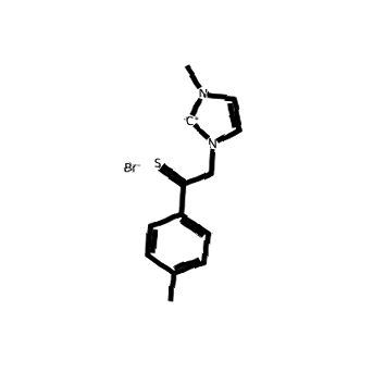 Cc1ccc(C(=S)CN2[C+]N(C)C=C2)cc1.[Br-]